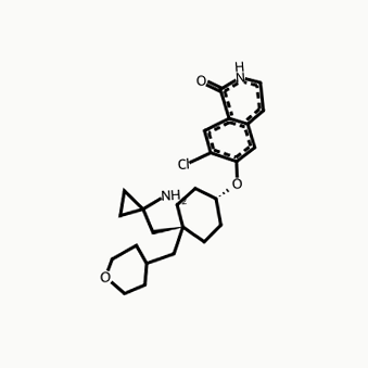 NC1(C[C@]2(CC3CCOCC3)CC[C@@H](Oc3cc4cc[nH]c(=O)c4cc3Cl)CC2)CC1